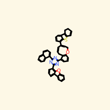 C1=Cc2sc3c(C4=C/COc5cccc(-c6nc(-c7cccc8ccccc78)nc(-c7cccc8c7oc7ccccc78)n6)c5C/C=C\4)cccc3c2CC1